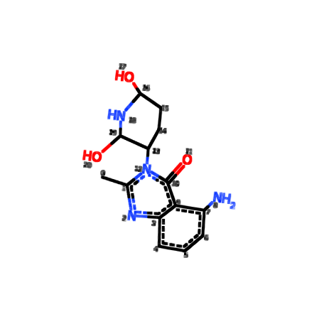 Cc1nc2cccc(N)c2c(=O)n1C1CCC(O)NC1O